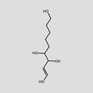 OC=CC(O)C(O)CCCCCO